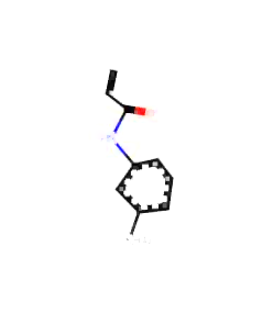 C=CC(=O)Nc1cccc(NC(C)=O)c1